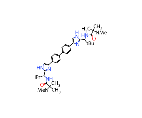 CNC(C)(C)C(=O)N[C@H](c1nc(-c2ccc(-c3ccc(-c4c[nH]c([C@@H](NC(=O)C(C)(C)NC)C(C)(C)C)n4)cc3)cc2)c[nH]1)C(C)C